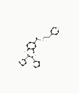 O=C(NCCc1ccncc1)c1ccc2nc(-c3cccs3)c(-c3cccs3)nc2c1